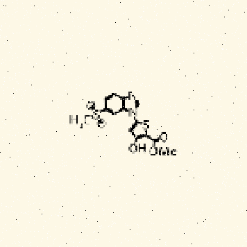 COC(=O)c1sc(-n2cnc3ccc(S(C)(=O)=O)cc32)cc1O